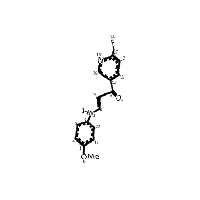 COc1ccc(NC=CC(=O)c2ccc(F)nc2)cc1